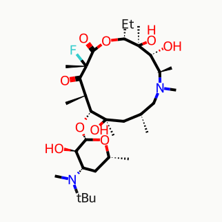 CC[C@H]1OC(=O)[C@@](C)(F)C(=O)[C@H](C)[C@@H](O[C@@H]2O[C@H](C)C[C@H](N(C)C(C)(C)C)[C@H]2O)[C@](C)(O)C[C@@H](C)CN(C)[C@H](C)[C@@H](O)[C@]1(C)O